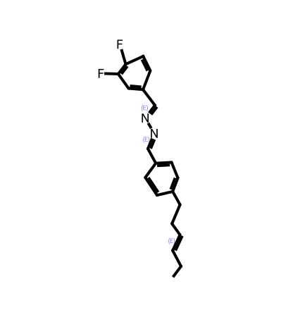 CC/C=C/CCc1ccc(/C=N/N=C/c2ccc(F)c(F)c2)cc1